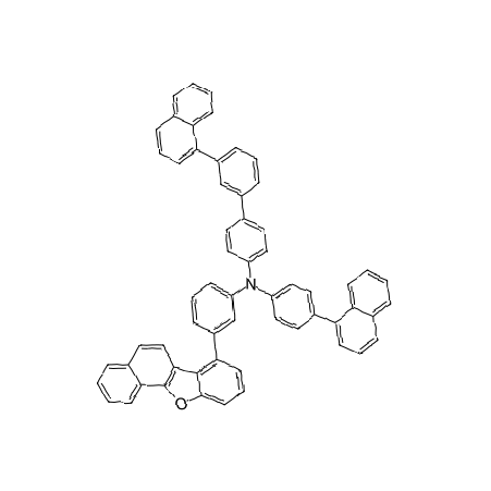 c1cc(-c2ccc(N(c3ccc(-c4cccc5ccccc45)cc3)c3cccc(-c4cccc5oc6c7ccccc7ccc6c45)c3)cc2)cc(-c2cccc3ccccc23)c1